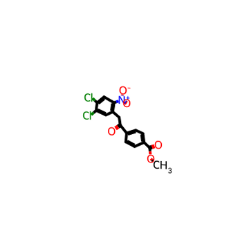 COC(=O)c1ccc(C(=O)Cc2cc(Cl)c(Cl)cc2[N+](=O)[O-])cc1